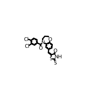 O=C1NC(=S)SC1=Cc1ccc2c(c1)N(C(=O)c1ccc(Cl)c(Cl)c1)CCCO2